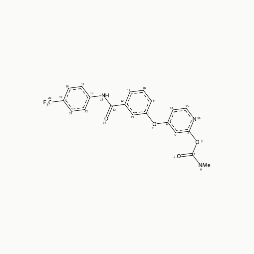 CNC(=O)Oc1cc(Oc2cccc(C(=O)Nc3ccc(C(F)(F)F)cc3)c2)ccn1